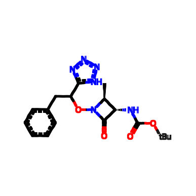 C[C@H]1[C@H](NC(=O)OC(C)(C)C)C(=O)N1OC(Cc1ccccc1)c1nnn[nH]1